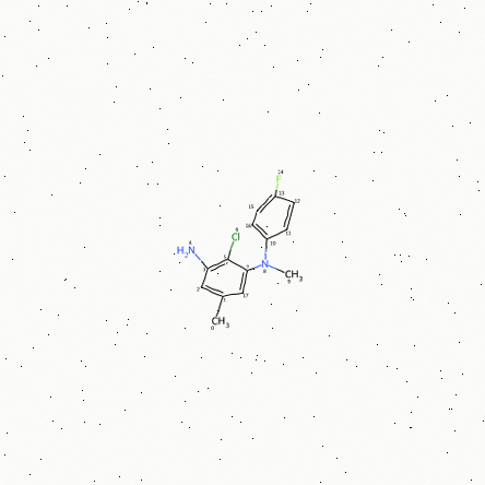 Cc1cc(N)c(Cl)c(N(C)c2ccc(F)cc2)c1